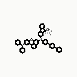 CC1(C)c2ccccc2-c2ccc(N(c3ccc(-c4ccc(-c5ccccc5)cc4)cc3)c3cc4c5c(cccc5c3)-c3cc(N(c5ccccc5)c5ccccc5)ccc3O4)cc21